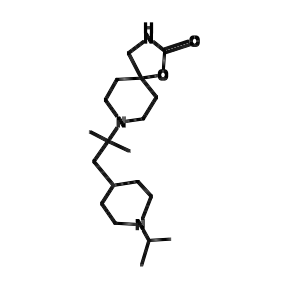 CC(C)N1CCC(CC(C)(C)N2CCC3(CC2)CNC(=O)O3)CC1